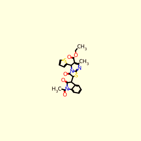 CCOC(=O)C1=C(C)N=C2SC(C3C(=O)N(C(C)=O)c4ccccc43)C(=O)N2C1c1cccs1